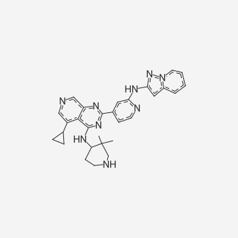 CC1(C)CNCCC1Nc1nc(-c2ccnc(Nc3cc4ccccn4n3)c2)nc2cncc(C3CC3)c12